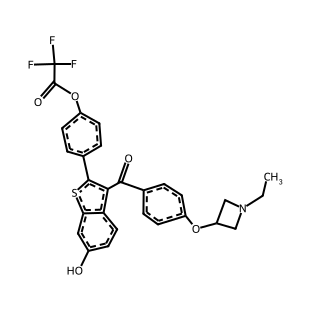 CCN1CC(Oc2ccc(C(=O)c3c(-c4ccc(OC(=O)C(F)(F)F)cc4)sc4cc(O)ccc34)cc2)C1